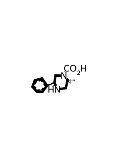 C[C@@H]1CN[C@@H](c2ccccc2)CN1C(=O)O